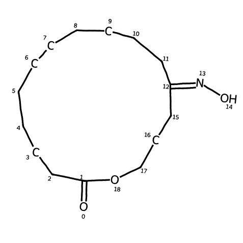 O=C1CCCCCCCCCCC(=NO)CCCO1